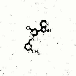 CN1CCCC(CNc2cc(-c3c[nH]c4ncccc34)cc(Cl)n2)C1